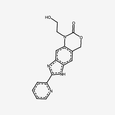 O=C1OCc2cc3[nH]c(-c4ccccn4)nc3cc2N1CCO